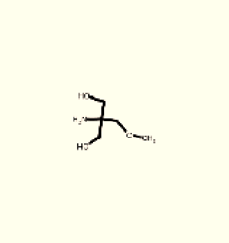 COCC(N)(CO)CO